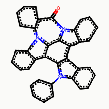 O=c1c2ccccc2n2c3ccccc3c3c4c(c5ccccc5n4-c4ccccc4)c4c5ccccc5n1c4c32